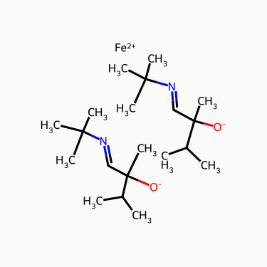 CC(C)C(C)([O-])C=NC(C)(C)C.CC(C)C(C)([O-])C=NC(C)(C)C.[Fe+2]